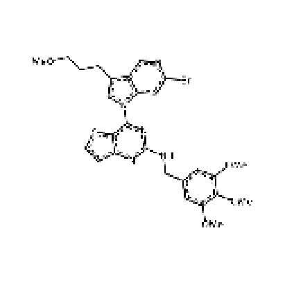 COCCCc1cn(-c2nc(NCc3cc(OC)c(OC)c(OC)c3)nc3ccsc23)c2cc(Br)ncc12